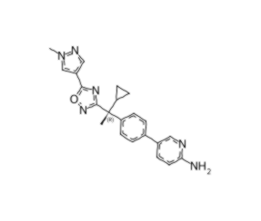 Cn1cc(-c2nc([C@@](C)(c3ccc(-c4ccc(N)nc4)cc3)C3CC3)no2)cn1